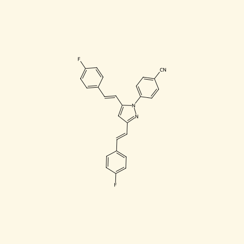 N#Cc1ccc(-n2nc(/C=C/c3ccc(F)cc3)cc2/C=C/c2ccc(F)cc2)cc1